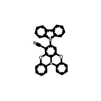 N#Cc1c(-n2c3ccccc3c3ccccc32)cc2c3c1Oc1ccccc1B3c1ccccc1O2